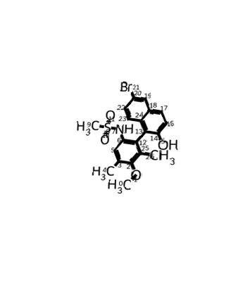 COc1c(C)cc(NS(C)(=O)=O)c(-c2c(O)ccc3cc(Br)ccc23)c1C